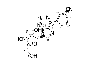 C[C@@]1(O)[C@H](O)[C@@H](CO)O[C@H]1n1cnc2c(-c3cccc(C#N)c3)ncnc21